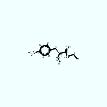 CCOC(=O)[C@H](Cc1ccc(N)cc1)OC